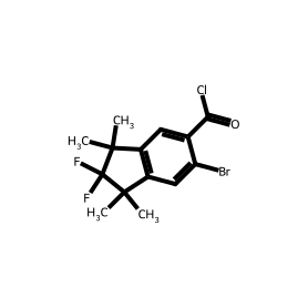 CC1(C)c2cc(Br)c(C(=O)Cl)cc2C(C)(C)C1(F)F